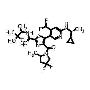 CC1CC(F)(F)CN1C(=O)c1nc(C(=O)NC(C)C(C)(C)O)sc1-c1cnc(N[C@@H](C)C2CC2)cc1C(F)F